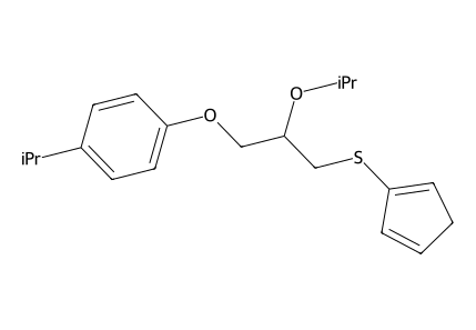 CC(C)OC(COc1ccc(C(C)C)cc1)CSC1=CCC=C1